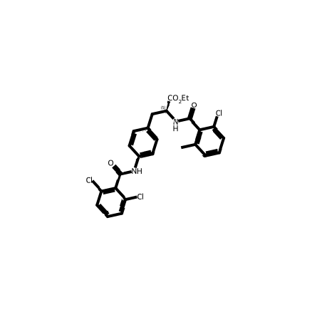 CCOC(=O)[C@H](Cc1ccc(NC(=O)c2c(Cl)cccc2Cl)cc1)NC(=O)c1c(C)cccc1Cl